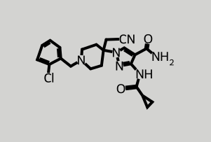 N#CCC1(n2cc(C(N)=O)c(NC(=O)C3CC3)n2)CCN(Cc2ccccc2Cl)CC1